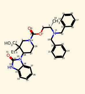 CCC1(C(=O)O)CN(C(=O)OC[C@H](C)N(Cc2ccccc2)Cc2ccccc2)CCC1n1c(=O)[nH]c2ccccc21